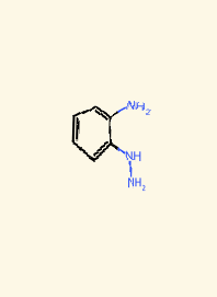 NNc1ccccc1N